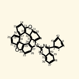 c1ccc(-c2nc(-n3c4ccc5oc6cccc7c8cccc9oc%10ccc3c(c%10c98)c4c5c67)nc3ccccc23)cc1